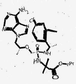 CCCOC(=O)C(C)(C)N[P@](=O)(CO[C@H](C)Cn1cnc2c(N)ncnc21)N[C@@H](C)c1ccc(Cl)cc1C